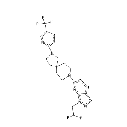 FC(F)Cn1ncc2ncc(N3CCC4(CCN(c5ccc(C(F)(F)F)cn5)C4)CC3)nc21